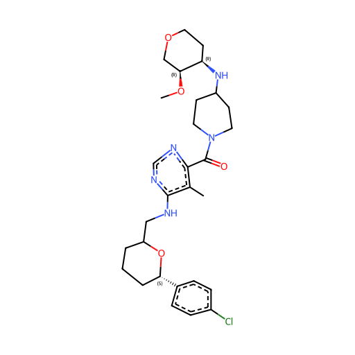 CO[C@H]1COCC[C@H]1NC1CCN(C(=O)c2ncnc(NCC3CCC[C@@H](c4ccc(Cl)cc4)O3)c2C)CC1